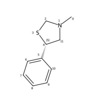 CN1CS[C@@H](c2ccccc2)C1